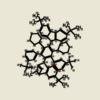 C[C@H]1C2=CC1c1cc(C(C)(C)C)ccc1N2c1c(-c2cccc(C(F)(F)F)c2)c(C2CCCCC2)c(-n2c3ccc(C(C)(C)C)cc3c3cc(C(C)(C)C)ccc32)c(C2CCCCC2)c1-c1cccc(C(F)(F)F)c1